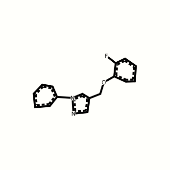 Fc1ccccc1OCc1cnn(-c2ccccc2)c1